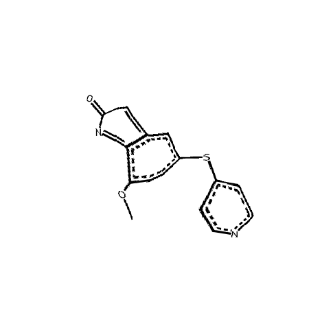 COc1cc(Sc2ccncc2)cc2c1=NC(=O)C=2